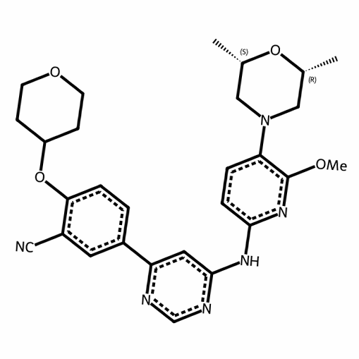 COc1nc(Nc2cc(-c3ccc(OC4CCOCC4)c(C#N)c3)ncn2)ccc1N1C[C@@H](C)O[C@@H](C)C1